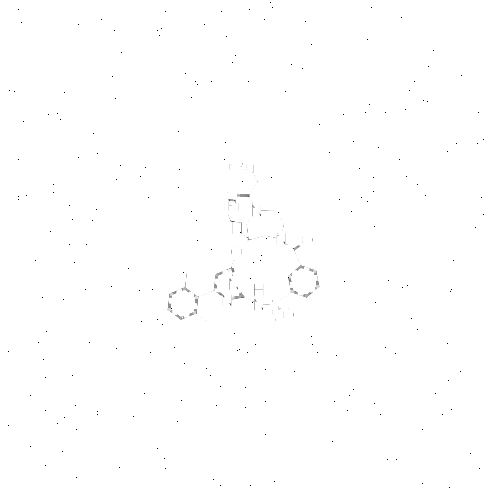 Cc1cccc(C)c1-c1cc2nc(n1)NS(=O)(=O)c1cccc(c1)C(=O)N1CCN(C(=O)CC(C)(C)C)[C@H](CC(C)C)[C@H](C1)O2